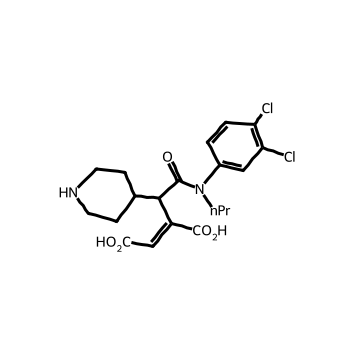 CCCN(C(=O)C(/C(=C\C(=O)O)C(=O)O)C1CCNCC1)c1ccc(Cl)c(Cl)c1